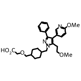 COCCc1c(-c2ccc(OC)nc2)c(-c2ccccc2)nn1CC1CCC(COCC(=O)O)CC1